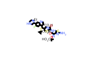 CCN1CCNCC1c1cc2nccc(C(SC3(C(=O)O)CC3)C3=C(C(=O)O)N4C(=O)C(NC(=O)/C(=N\OC(C)(C)C(=O)O)c5csc(N)n5)[C@@H]4SC3)c2cc1F